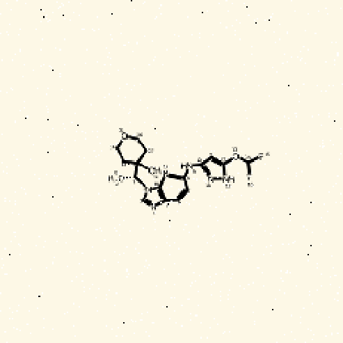 C[C@@H](n1cnc2ccc(Nc3cc(OC(F)F)[nH]n3)nc21)C1(O)CCOCC1